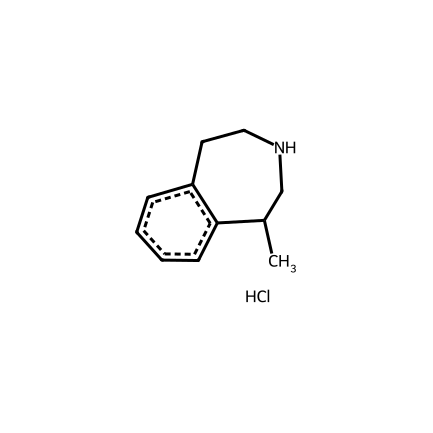 CC1CNCCc2ccccc21.Cl